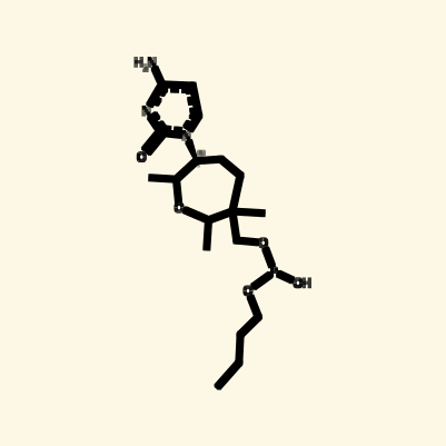 CCCCOP(O)OCC1(C)CC[C@H](n2ccc(N)nc2=O)C(C)OC1C